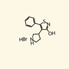 Br.Oc1nsc(-c2ccccc2)c1C1CCNC1